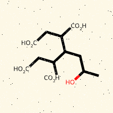 CC(O)CC(C(CC(=O)O)C(=O)O)C(CC(=O)O)C(=O)O